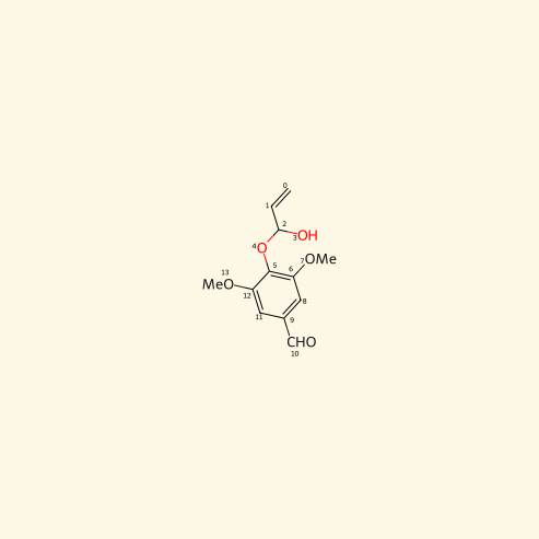 C=CC(O)Oc1c(OC)cc(C=O)cc1OC